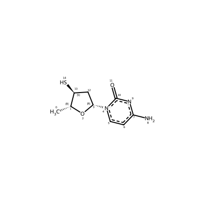 C[C@H]1O[C@@H](n2ccc(N)nc2=O)C[C@@H]1S